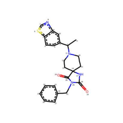 CC(c1ccc2scnc2c1)N1CCC2(CC1)NC(=O)N(Cc1ccccc1)C2=O